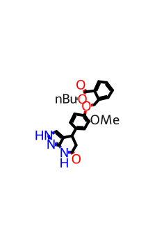 CCCCOC(=O)c1ccccc1COc1ccc(C2CC(=O)Nc3n[nH]cc32)cc1OC